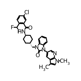 Cc1cn(C)c2ncc(-n3c(=O)n(C[C@H]4CC[C@H](NC(=O)c5cc(Cl)ccc5C(F)F)CC4)c4ccccc43)cc12